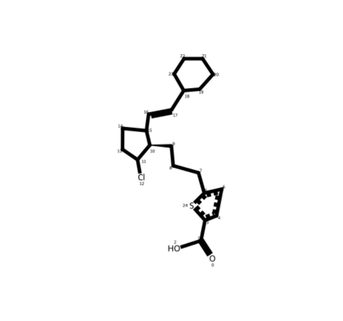 O=C(O)c1ccc(CCC[C@H]2C(Cl)CCC2/C=C/C2CCCCC2)s1